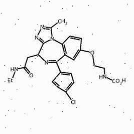 CCNC(=O)CC1N=C(c2ccc(Cl)cc2)c2cc(OCCNC(=O)O)ccc2-n2c(C)nnc21